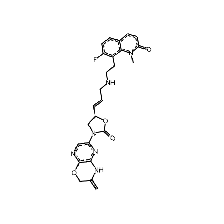 C=C1COc2ncc(N3C[C@@H](C=CCNCCc4c(F)ccc5ccc(=O)n(C)c45)OC3=O)nc2N1